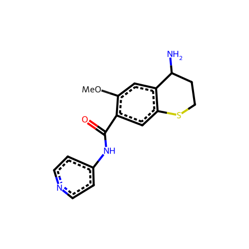 COc1cc2c(cc1C(=O)Nc1ccncc1)SCCC2N